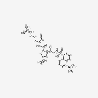 CN(C)c1cccc2c(S(=O)(=O)NCC(=O)N3CCC[C@H]3C(=O)N[C@H](C=O)CCCNC(=N)N)cccc12.Cl.Cl